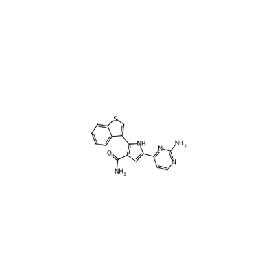 NC(=O)c1cc(-c2ccnc(N)n2)[nH]c1-c1csc2ccccc12